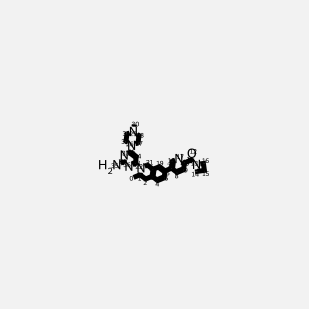 CC1Cc2ccc(-c3ccc(C(=O)N4CCC4)nc3)cc2CN1c1cc(N2CCN(C)CC2)nc(N)n1